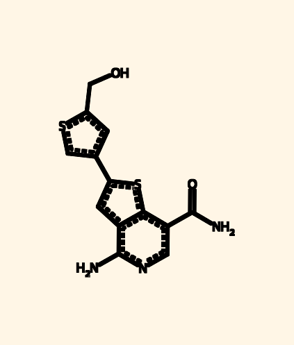 NC(=O)c1cnc(N)c2cc(-c3csc(CO)c3)sc12